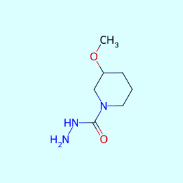 COC1CCCN(C(=O)NN)C1